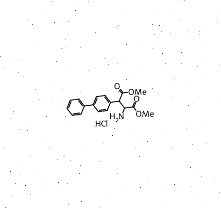 COC(=O)C(N)C(C(=O)OC)c1ccc(-c2ccccc2)cc1.Cl